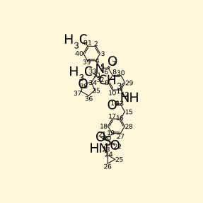 Cc1ccc(N(C(=O)c2ccc(NC(=O)Cc3ccc(S(=O)(=O)NC4CC4)cc3)cc2)C(C)(C)C2CCCO2)cc1